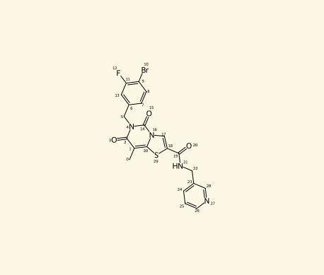 Cc1c(=O)n(Cc2ccc(Br)c(F)c2)c(=O)n2cc(C(=O)NCc3cccnc3)sc12